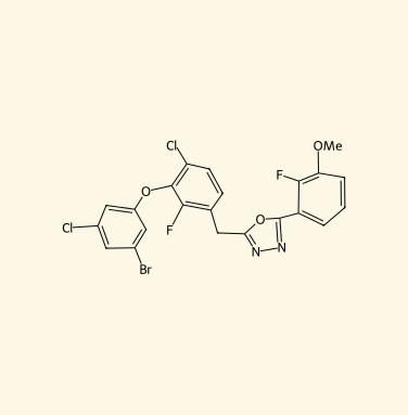 COc1cccc(-c2nnc(Cc3ccc(Cl)c(Oc4cc(Cl)cc(Br)c4)c3F)o2)c1F